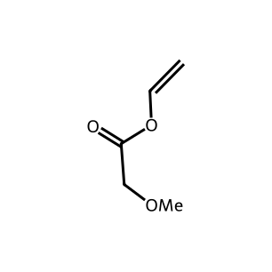 C=COC(=O)COC